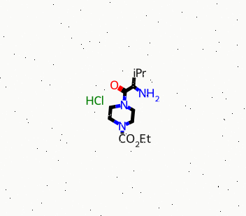 CCOC(=O)N1CCN(C(=O)C(N)C(C)C)CC1.Cl